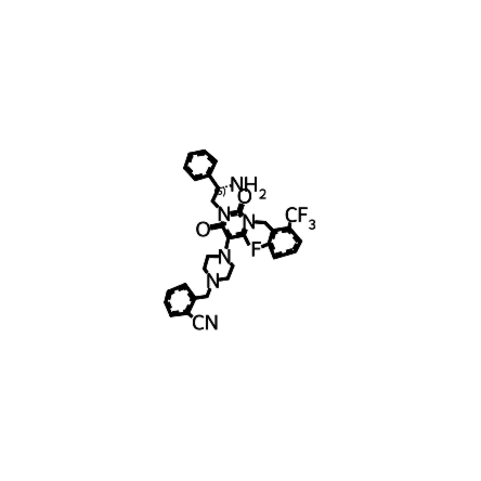 Cc1c(N2CCN(Cc3ccccc3C#N)CC2)c(=O)n(C[C@@H](N)c2ccccc2)c(=O)n1Cc1c(F)cccc1C(F)(F)F